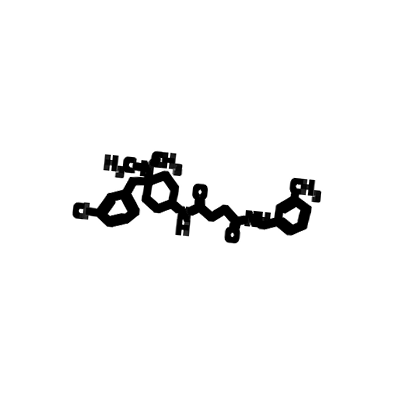 Cc1cccc(CNC(=O)CCC(=O)NC2CCC(Cc3cccc(Cl)c3)(N(C)C)CC2)c1